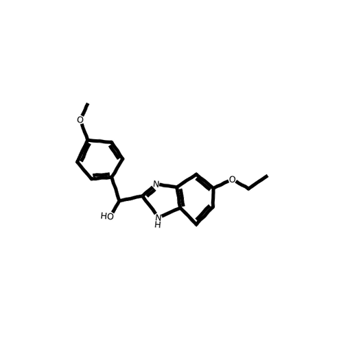 CCOc1ccc2[nH]c(C(O)c3ccc(OC)cc3)nc2c1